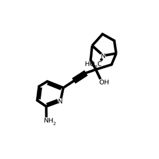 Nc1cccc(C#CC2(O)CC3CCC(C2)N3C(=O)O)n1